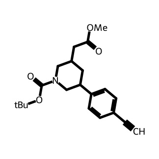 C#Cc1ccc(C2CC(CC(=O)OC)CN(C(=O)OC(C)(C)C)C2)cc1